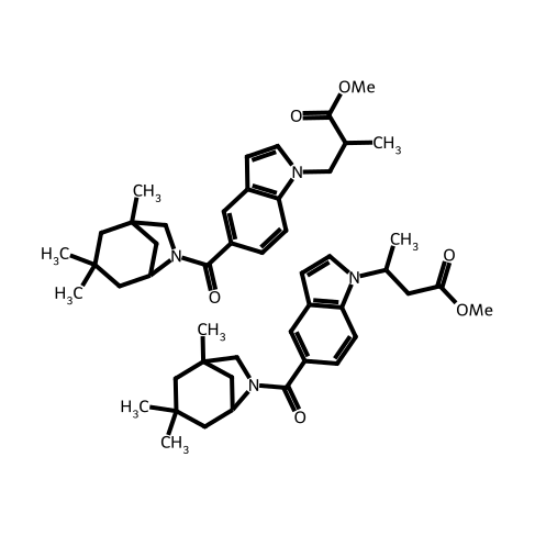 COC(=O)C(C)Cn1ccc2cc(C(=O)N3CC4(C)CC3CC(C)(C)C4)ccc21.COC(=O)CC(C)n1ccc2cc(C(=O)N3CC4(C)CC3CC(C)(C)C4)ccc21